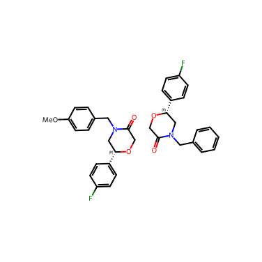 COc1ccc(CN2C[C@@H](c3ccc(F)cc3)OCC2=O)cc1.O=C1CO[C@H](c2ccc(F)cc2)CN1Cc1ccccc1